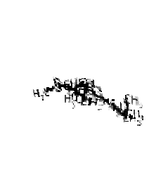 CCCCOC(=O)C(C)CC(C)(C)C(CC(C)(C)C(=O)OCCCCCCSCCCC(C)C(C)(C)CCC)C(=O)OC(C)(C)C